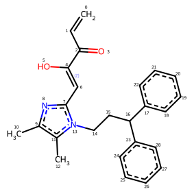 C=CC(=O)/C(O)=C/c1nc(C)c(C)n1CCC(c1ccccc1)c1ccccc1